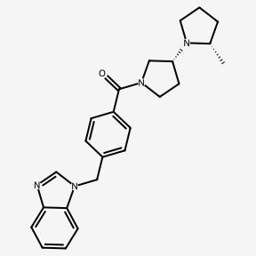 C[C@H]1CCCN1[C@@H]1CCN(C(=O)c2ccc(Cn3cnc4ccccc43)cc2)C1